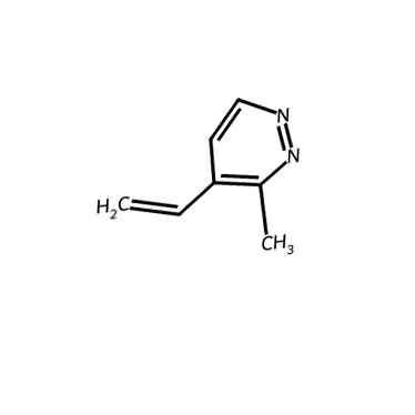 C=Cc1ccnnc1C